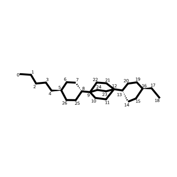 CCCCC[C@H]1CC[C@H](C23CCC([C@H]4CC[C@H](CC)CC4)(CC2)CC3)CC1